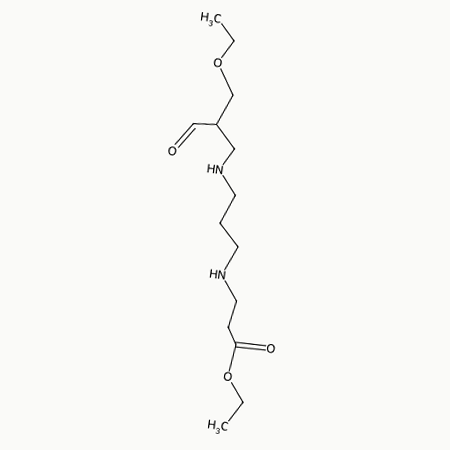 CCOCC(C=O)CNCCCNCCC(=O)OCC